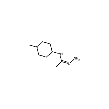 C/C(=N/N)NC1CCN(C)CC1